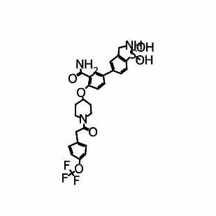 NC(=O)c1cc(-c2ccc3c(c2)CNS3(O)O)ccc1OC1CCN(C(=O)Cc2ccc(OC(F)(F)F)cc2)CC1